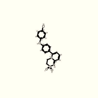 O=S1(=O)CCN2C(c3ccc(Oc4ccc(Cl)cc4)cc3)=CC=CC2=N1